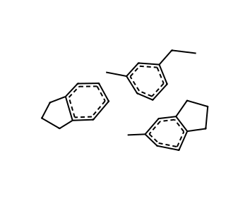 CCc1cccc(C)c1.Cc1ccc2c(c1)CCC2.c1ccc2c(c1)CCC2